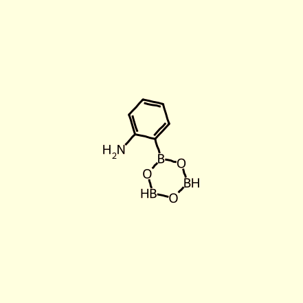 Nc1ccccc1B1OBOBO1